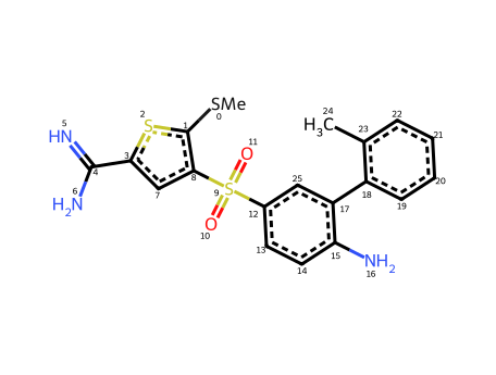 CSc1sc(C(=N)N)cc1S(=O)(=O)c1ccc(N)c(-c2ccccc2C)c1